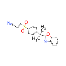 CC(C)(c1ccc(S(=O)(=O)C=CC#N)cc1)c1nc2ccccc2o1